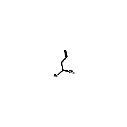 C=CCC(C(C)=O)C(F)(F)F